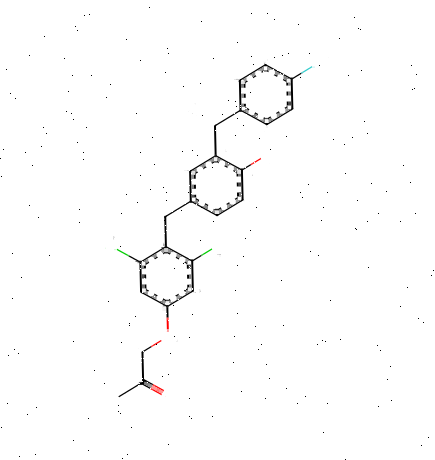 CC(=O)COc1cc(Cl)c(Cc2ccc(O)c([C@H](C)c3ccc(F)cc3)c2)c(Cl)c1